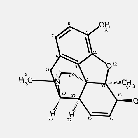 CN1CC[C@]23c4c5ccc(O)c4O[C@@]2(C)[C@@H](O)C=C[C@H]3[C@H]1C5